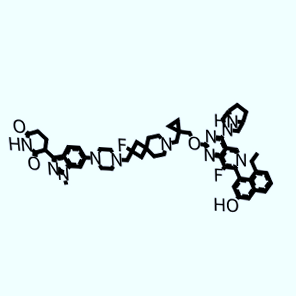 CCc1cccc2cc(O)cc(-c3ncc4c(N5CC6CCC(C5)N6)nc(OCC5(CN6CCC7(CC6)CC(F)(CN6CCN(c8ccc9c(C%10CCC(=O)NC%10=O)nn(C)c9c8)CC6)C7)CC5)nc4c3F)c12